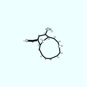 CC1CC(=C=O)C2CCCCCCCCCC1C2